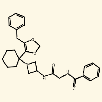 O=C(CNC(=O)c1ccccc1)NC1CN(C2(C3=C(Cc4ccccc4)OCO3)CCCCC2)C1